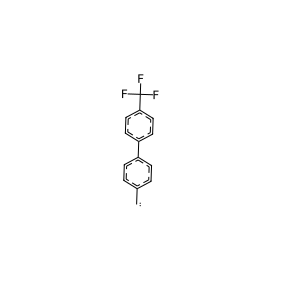 [CH]c1ccc(-c2ccc(C(F)(F)F)cc2)cc1